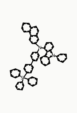 c1ccc(-n2c3ccccc3c3c(N(c4ccc(-c5ccc([Si](c6ccccc6)(c6ccccc6)c6ccccc6)cc5)cc4)c4ccc5c(ccc6ccccc65)c4)cccc32)cc1